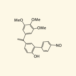 C=C(c1cc(OC)c(OC)c(OC)c1)c1ccc(O)c(-c2ccc(N=O)cc2)c1